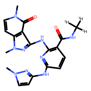 [2H]C([2H])([2H])NC(=O)c1ccc(Nc2ccn(C)n2)nc1Nc1nn(C)c2ccn(C)c(=O)c12